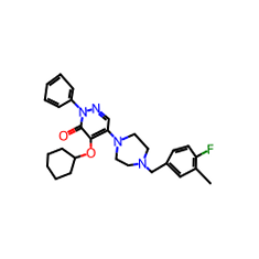 Cc1cc(CN2CCN(c3cnn(-c4ccccc4)c(=O)c3OC3CCCCC3)CC2)ccc1F